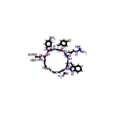 CCCC[C@H](NC(C)=O)C(=O)N[C@H]1CC(=O)NCCCC[C@@H](C(N)=O)NC(=O)[C@H](Cc2c[nH]c3ccccc23)NC(=O)[C@H](CCCNC(=N)N)NC(=O)[C@@H](Cc2ccc(Cl)cc2)NC(=O)[C@H](Cc2ccc(N)cc2)NC1=O